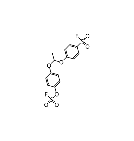 CC(Oc1ccc(OS(=O)(=O)F)cc1)Oc1ccc(S(=O)(=O)F)cc1